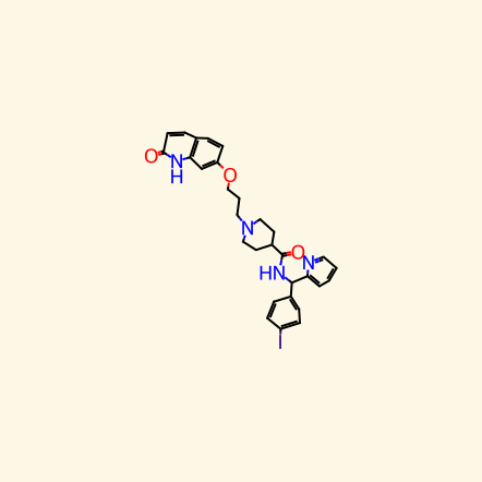 O=C(NC(c1ccc(I)cc1)c1ccccn1)C1CCN(CCCOc2ccc3ccc(=O)[nH]c3c2)CC1